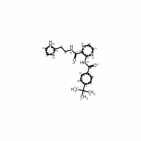 CC(C)(C)c1ccc(C(=O)Nc2nccnc2C(=O)NCCc2ncc[nH]2)cc1